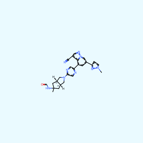 Cn1ccc(-c2cc(-c3cnc(N4C[C@@H]5CC(C)(NC=O)C[C@@H]5C4)cn3)c3c(C#N)cnn3c2)n1